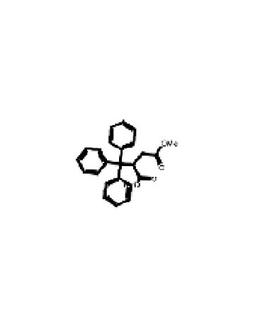 COC(=O)CC(C(=O)OC)C(c1ccccc1)(c1ccccc1)c1ccccc1